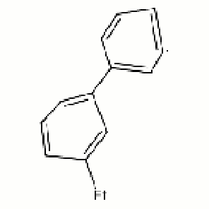 CCc1cccc(-c2c[c]ccc2)c1